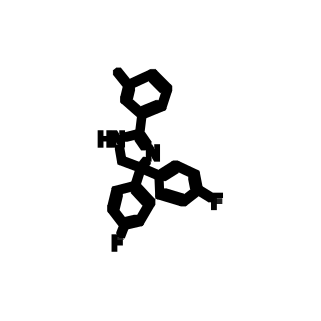 Cc1cccc(C2=NC(c3ccc(F)cc3)(c3ccc(F)cc3)CN2)c1